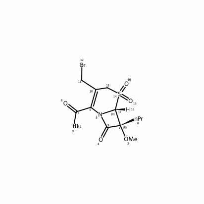 CCC[C@@]1(OC)C(=O)N2C(C(=O)C(C)(C)C)=C(CBr)CS(=O)(=O)[C@@H]21